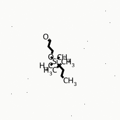 CCCC(C)(C)[Si](C)(C)OCCC=O